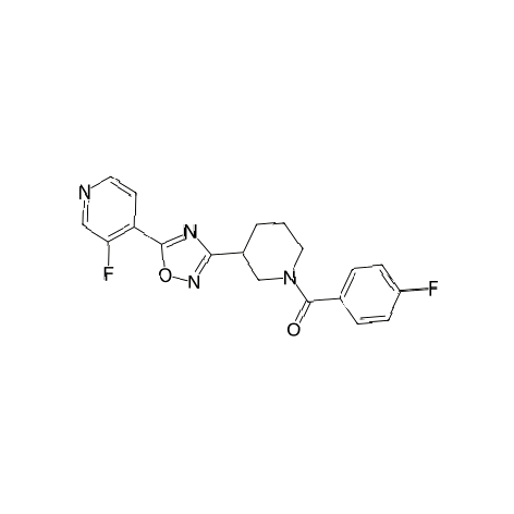 O=C(c1ccc(F)cc1)N1CCCC(c2noc(-c3ccncc3F)n2)C1